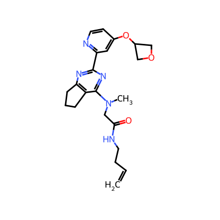 C=CCCNC(=O)CN(C)c1nc(-c2cc(OC3COC3)ccn2)nc2c1CCC2